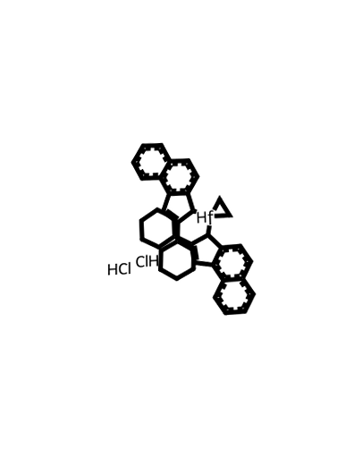 C1=C(C2CCCCC2)[CH]([Hf]2([CH]3C(C4CCCCC4)=Cc4c3ccc3ccccc43)[CH2][CH2]2)c2ccc3ccccc3c21.Cl.Cl